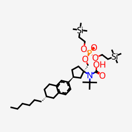 CCCCCC[C@@H]1CCc2cc([C@H]3CC[C@@](COP(=O)(OCC[Si](C)(C)C)OCC[Si](C)(C)C)(N(C(=O)O)C(C)(C)C)C3)ccc2C1